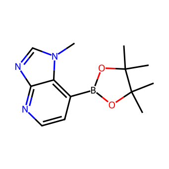 Cn1cnc2nccc(B3OC(C)(C)C(C)(C)O3)c21